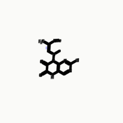 CN/C(=C\N(C)n1c(=O)c(=O)[nH]c2cnc(Cl)nc21)C(F)(F)F